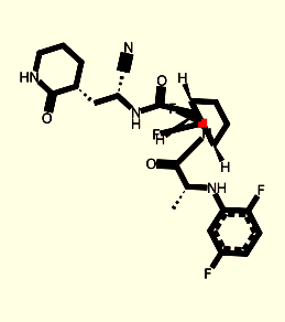 C[C@@H](Nc1cc(F)ccc1F)C(=O)N1[C@H]2CC[C@@H]([C@H]1C(=O)N[C@@H](C#N)C[C@H]1CCCNC1=O)C(F)(F)C2